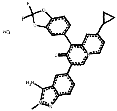 Cl.Cn1nc2ccc(-c3cn4ccc(C5CC5)cc4c(-c4ccc5c(c4)OC(F)(F)O5)c3=O)cc2c1N